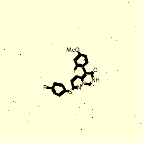 COc1ccc(C2=C3C=CC(Sc4ccc(F)cc4)=NN3CNC2=O)c(I)c1